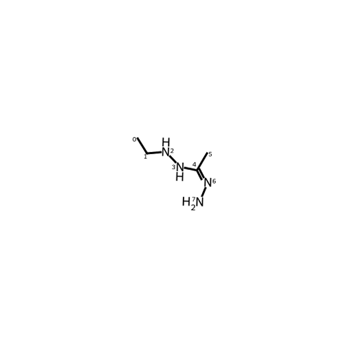 CCNN/C(C)=N\N